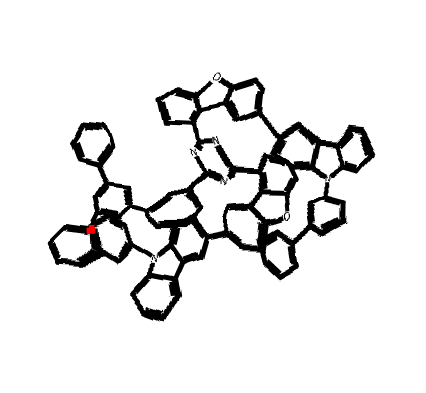 c1ccc(-c2cc(-c3ccccc3)cc(-c3cccc(-c4nc(-c5cccc6oc7ccc(-c8ccc9c(c8)c8ccccc8n9-c8ccccc8)cc7c56)nc(-c5cccc6oc7ccc(-c8ccc9c(c8)c8ccccc8n9-c8cccc(-c9ccccc9)c8)cc7c56)n4)c3)c2)cc1